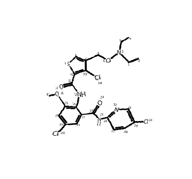 CCN(CC)OCc1csc(C(=O)Nc2c(OC)cc(Cl)cc2C(=O)Nc2ccc(Cl)cn2)c1Cl